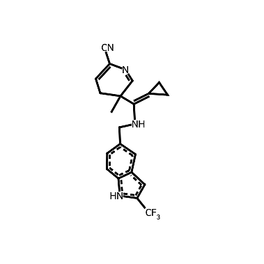 CC1(C(NCc2ccc3[nH]c(C(F)(F)F)cc3c2)=C2CC2)C=NC(C#N)=CC1